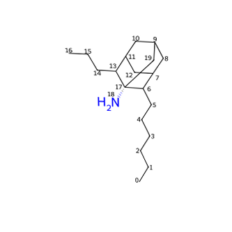 CCCCCCC1C2CC3CC(C2)C(CCC)[C@@]1(N)C3